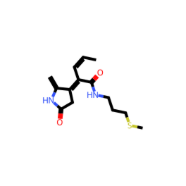 C=C1NC(=O)C/C1=C(/C=C\C)C(=O)NCCCSC